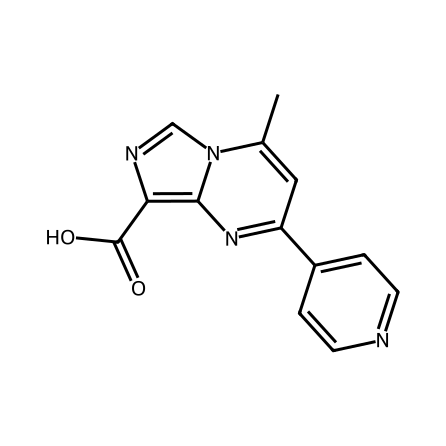 Cc1cc(-c2ccncc2)nc2c(C(=O)O)ncn12